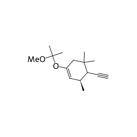 C#CC1[C@@H](C)C=C(OC(C)(C)OC)CC1(C)C